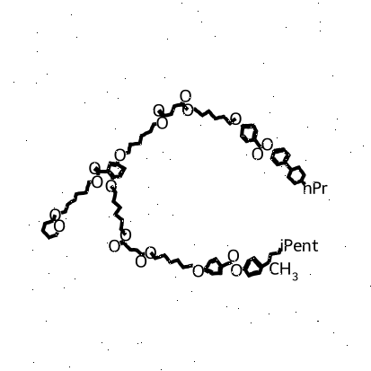 CCCC(C)CCC(C)c1ccc(OC(=O)c2ccc(OCCCCCCOC(=O)CCC(=O)OCCCCCCOc3ccc(OCCCCCCOC(=O)CCC(=O)OCCCCCCOc4ccc(C(=O)Oc5ccc(C6CCC(CCC)CC6)cc5)cc4)cc3C(=O)OCCCCCCOC3CCCCO3)cc2)cc1